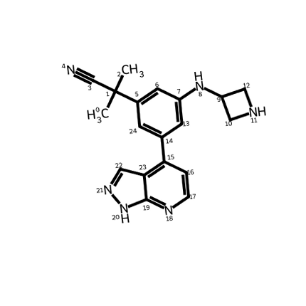 CC(C)(C#N)c1cc(NC2CNC2)cc(-c2ccnc3[nH]ncc23)c1